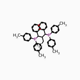 CCC(C(c1ccccc1)P(c1ccc(C)cc1)c1ccc(C)cc1)C(c1ccccc1)P(c1ccc(C)cc1)c1ccc(C)cc1